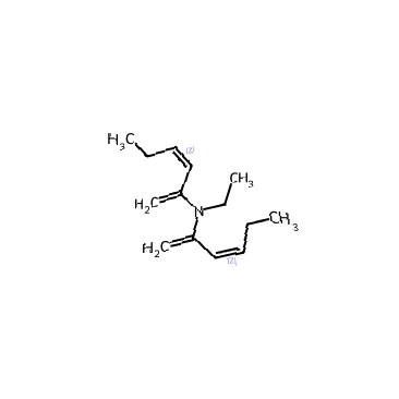 C=C(/C=C\CC)N(CC)C(=C)/C=C\CC